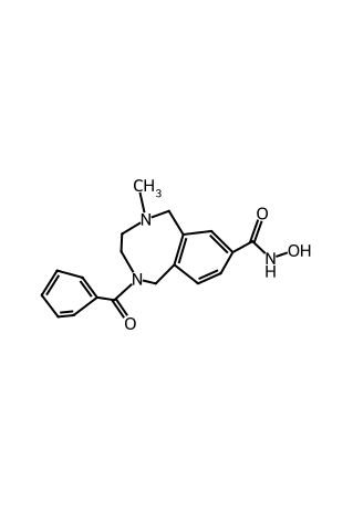 CN1CCN(C(=O)c2ccccc2)Cc2ccc(C(=O)NO)cc2C1